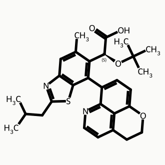 Cc1cc2nc(CC(C)C)sc2c(-c2ccc3c4c(ccnc24)CCO3)c1[C@H](OC(C)(C)C)C(=O)O